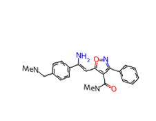 CNCc1ccc(C(N)=Cc2onc(-c3ccccc3)c2C(=O)NC)cc1